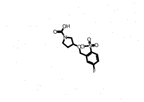 O=C(O)N1CCC(OCc2cc(F)ccc2S(=O)(=O)Cl)C1